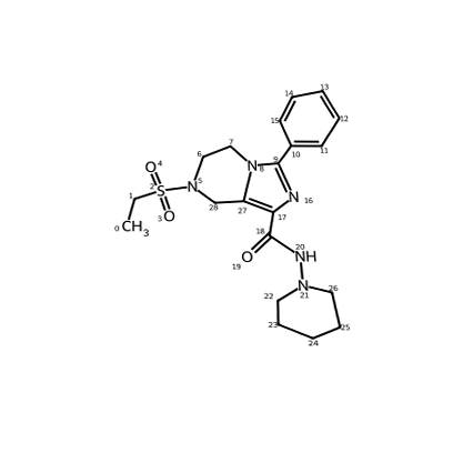 CCS(=O)(=O)N1CCn2c(-c3ccccc3)nc(C(=O)NN3CCCCC3)c2C1